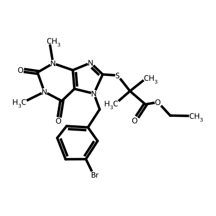 CCOC(=O)C(C)(C)Sc1nc2c(c(=O)n(C)c(=O)n2C)n1Cc1cccc(Br)c1